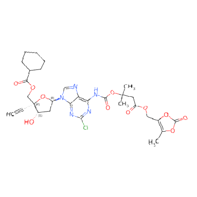 C#C[C@]1(COC(=O)C2CCCCC2)O[C@@H](n2cnc3c(NC(=O)OC(C)(C)CC(=O)OCc4oc(=O)oc4C)nc(Cl)nc32)C[C@@H]1O